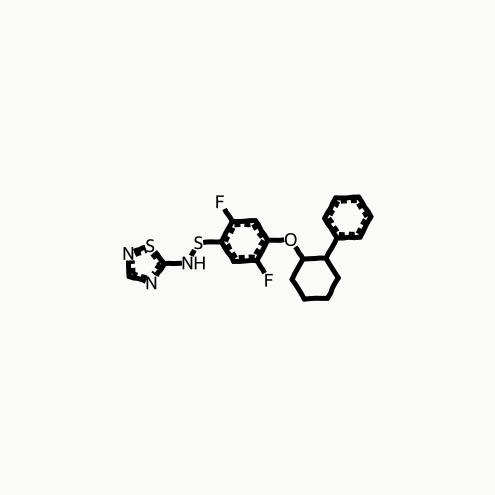 Fc1cc(SNc2ncns2)c(F)cc1OC1CCCCC1c1ccccc1